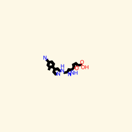 Cc1cc(C#N)ccc1-c1ccnc(NCc2cc(-c3ccc(C(=O)O)o3)[nH]n2)c1